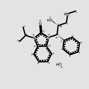 CNC[C@@H](O)[C@H](c1ccccc1)n1c(=O)n(C(C)C)c2ccccc21.Cl